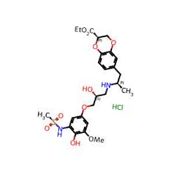 CCOC(=O)[C@H]1COc2cc(C[C@@H](C)NC[C@H](O)COc3cc(NS(C)(=O)=O)c(O)c(OC)c3)ccc2O1.Cl